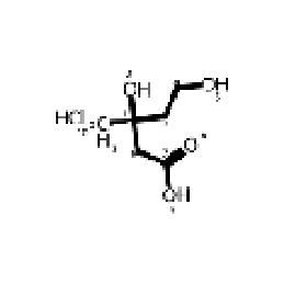 C[C@@](O)(CCO)CC(=O)O.Cl